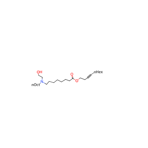 CCCCCCC#CCCOC(=O)CCCCCCCN(CCO)CCCCCCCC